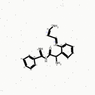 N=C(NC(=O)C(N)c1ccccc1/N=C/C=C\N)c1ccccc1